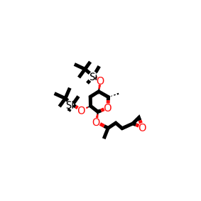 CC(CCC1CO1)O[C@@H]1O[C@@H](C)[C@H](O[Si](C)(C)C(C)(C)C)C[C@H]1O[Si](C)(C)C(C)(C)C